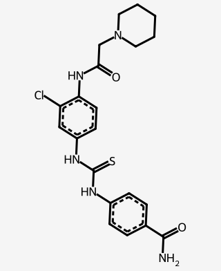 NC(=O)c1ccc(NC(=S)Nc2ccc(NC(=O)CN3CCCCC3)c(Cl)c2)cc1